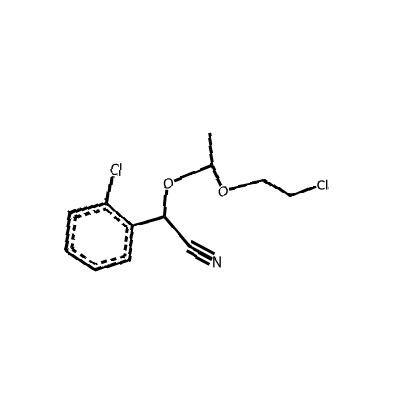 CC(OCCCl)OC(C#N)c1ccccc1Cl